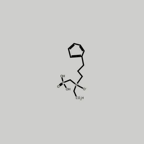 O=C(O)C[N+]([O-])(CCCc1ccccc1)CP(=O)(O)O